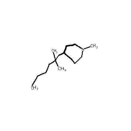 CCCCC(C)(C)C1CCN(C)CC1